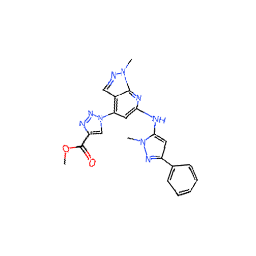 COC(=O)c1cn(-c2cc(Nc3cc(-c4ccccc4)nn3C)nc3c2cnn3C)nn1